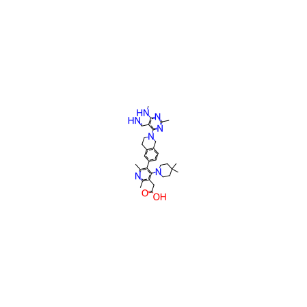 CNc1nc(C)nc(N2CCc3cc(-c4c(C)nc(C)c(CC(=O)O)c4N4CCC(C)(C)CC4)ccc3C2)c1C=N